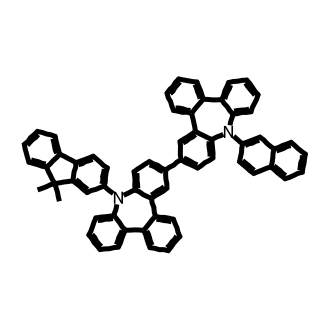 CC1(C)c2ccccc2-c2ccc(N3c4ccccc4-c4ccccc4-c4cc(-c5ccc6c(c5)-c5ccccc5-c5ccccc5N6c5ccc6ccccc6c5)ccc43)cc21